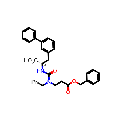 CC(C)CN(CCC(=O)OCc1ccccc1)C(=O)N[C@@H](Cc1cccc(-c2ccccc2)c1)C(=O)O